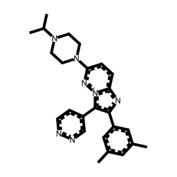 Cc1cc(C)cc(-c2nc3ccc(N4CCN(C(C)C)CC4)nn3c2-c2ccnnc2)c1